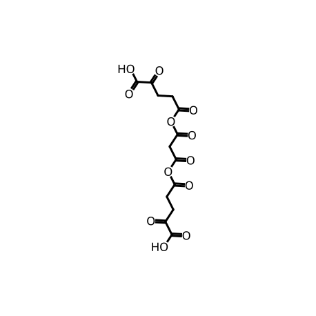 O=C(CCC(=O)C(=O)O)OC(=O)CC(=O)OC(=O)CCC(=O)C(=O)O